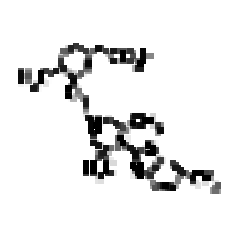 Cc1ccc(CC(=O)O)cc1OCCN1C[C@@H](C)N(c2nc3ccc(C(F)(F)F)cc3s2)[C@@H](C)C1